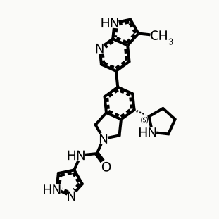 Cc1c[nH]c2ncc(-c3cc4c(c([C@@H]5CCCN5)c3)CN(C(=O)Nc3cn[nH]c3)C4)cc12